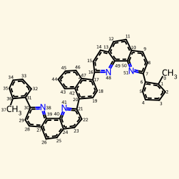 Cc1ccccc1-c1ccc2ccc3ccc(-c4ccc(-c5ccc6ccc7ccc(-c8ccccc8C)nc7c6n5)c5ccccc45)nc3c2n1